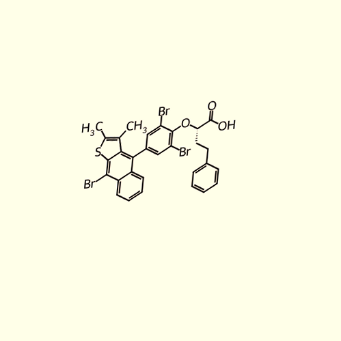 Cc1sc2c(Br)c3ccccc3c(-c3cc(Br)c(O[C@@H](CCc4ccccc4)C(=O)O)c(Br)c3)c2c1C